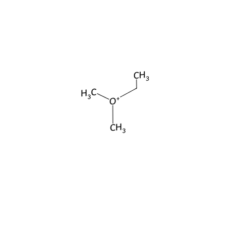 CC[O+](C)C